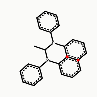 C[C](P(c1ccccc1)c1ccccc1)P(c1ccccc1)c1ccccc1